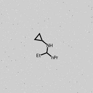 CCCC(CC)N[C]1CC1